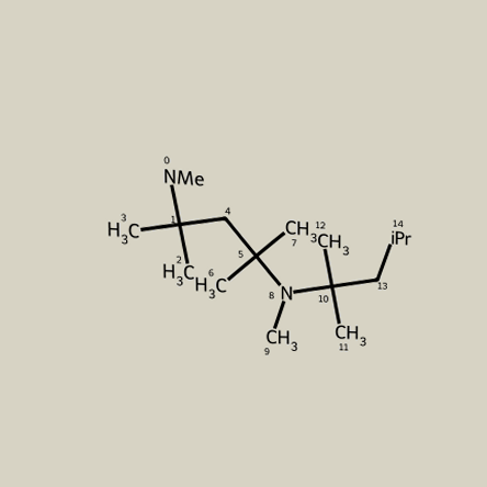 CNC(C)(C)CC(C)(C)N(C)C(C)(C)CC(C)C